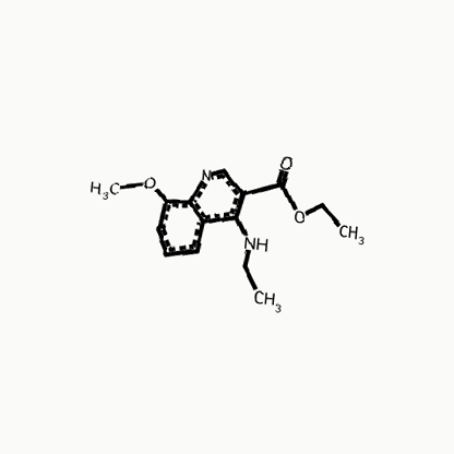 CCNc1c(C(=O)OCC)cnc2c(OC)cccc12